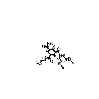 COCCNC(=O)c1cc(C(N)=O)cc(C(=O)N(CCOC)CCOC)c1